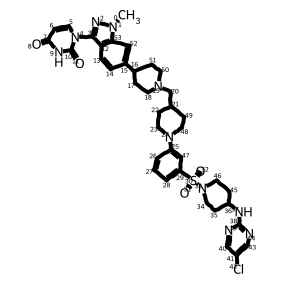 Cn1nc(-n2ccc(=O)[nH]c2=O)c2ccc(C3CCN(CC4CCN(c5cccc(S(=O)(=O)N6CCC(Nc7ncc(Cl)cn7)CC6)c5)CC4)CC3)cc21